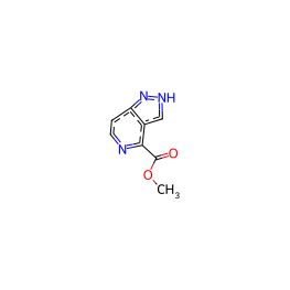 COC(=O)c1nccc2n[nH]cc12